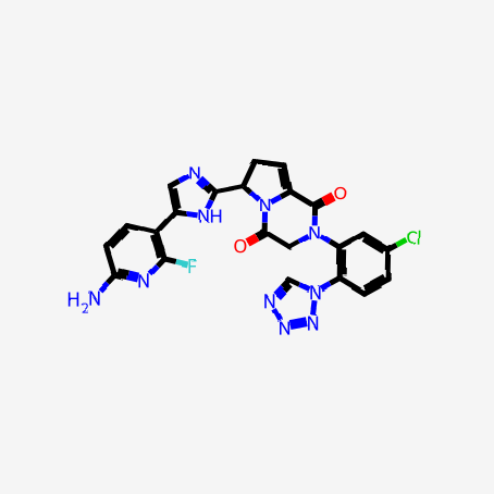 Nc1ccc(-c2cnc(C3CC=C4C(=O)N(c5cc(Cl)ccc5-n5cnnn5)CC(=O)N43)[nH]2)c(F)n1